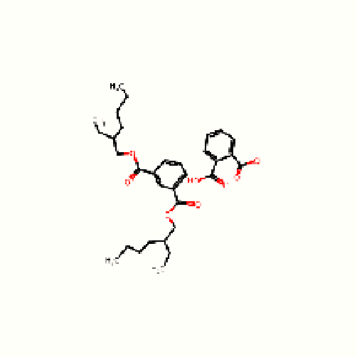 CCCCC(CC)COC(=O)c1cccc(C(=O)OCC(CC)CCCC)c1.O=C(O)c1ccccc1C(=O)O